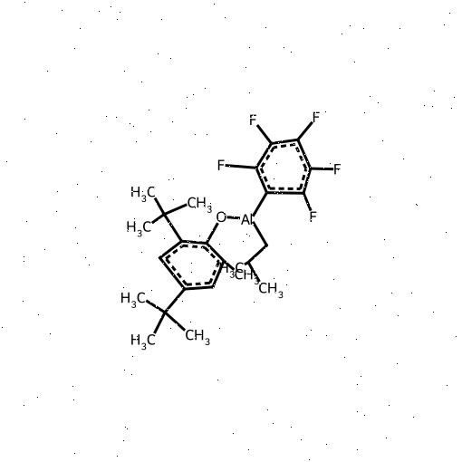 Cc1cc(C(C)(C)C)cc(C(C)(C)C)c1[O][Al]([CH2]C(C)C)[c]1c(F)c(F)c(F)c(F)c1F